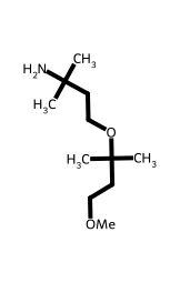 COCCC(C)(C)OCCC(C)(C)N